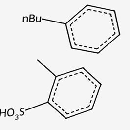 CCCCc1ccccc1.Cc1ccccc1S(=O)(=O)O